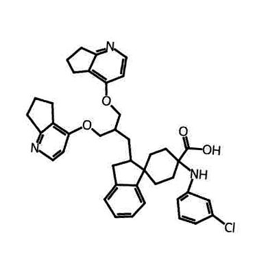 O=C(O)C1(Nc2cccc(Cl)c2)CCC2(CC1)c1ccccc1CC2CC(COc1ccnc2c1CCC2)COc1ccnc2c1CCC2